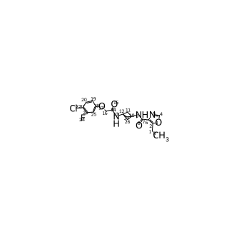 CCc1ocnc1C(=O)NC12CC(NC(=O)COc3ccc(Cl)c(F)c3)(C1)C2